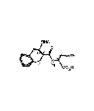 CC(=O)N[C@H](Cc1ccccc1)[C@H](O)C(=O)N[C@@H](CC(C)C)C(=O)O